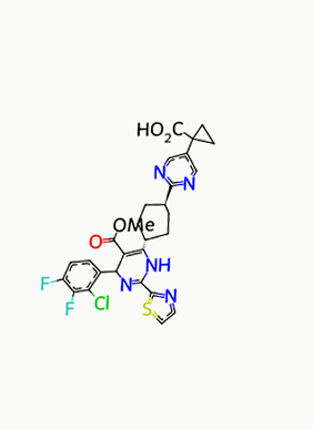 COC(=O)C1=C([C@H]2CC[C@H](c3ncc(C4(C(=O)O)CC4)cn3)CC2)NC(c2nccs2)=NC1c1ccc(F)c(F)c1Cl